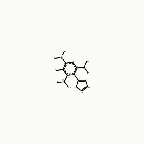 Cc1c([SiH](C)C)cc(C(C)C)c(C2=CC=CC2)c1C(C)C